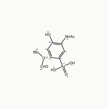 CC(=O)Nc1cc([As](=O)(O)O)ccc1O.CC(C)(C)OC=O